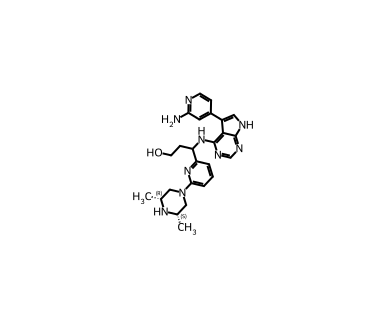 C[C@@H]1CN(c2cccc(C(CCO)Nc3ncnc4[nH]cc(-c5ccnc(N)c5)c34)n2)C[C@H](C)N1